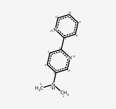 C[SiH](C)c1ccc(-c2ccccn2)nc1